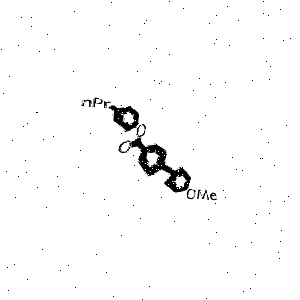 CCCc1ccc(OC(=O)c2ccc(-c3ccc(OC)cc3)cc2)cc1